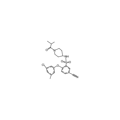 Cc1cc(Cl)cc(Oc2ccc(C#N)cc2S(=O)(=O)NC2CCN(C(=O)C(C)C)CC2)c1